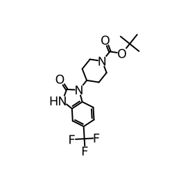 CC(C)(C)OC(=O)N1CCC(n2c(=O)[nH]c3cc(C(F)(F)F)ccc32)CC1